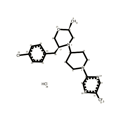 C[C@H]1CN(C2CCN(c3cnc(C(F)(F)F)cn3)CC2)[C@@H](Cc2ccc(Cl)cc2)CO1.Cl